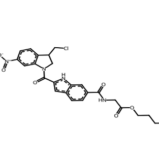 CCCCOC(=O)CNC(=O)c1ccc2cc(C(=O)N3CC(CCl)c4ccc([N+](=O)[O-])cc43)[nH]c2c1